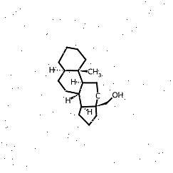 C[C@]12CCCC[C@@H]1CC[C@H]1[C@@H]3CCC[C@@]3(CO)CC[C@@H]12